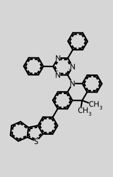 CC1(C)c2ccccc2N(c2nc(-c3ccccc3)nc(-c3ccccc3)n2)c2ccc(-c3ccc4sc5ccccc5c4c3)cc21